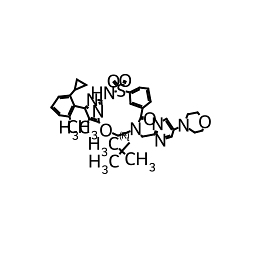 Cc1cccc(C2CC2)c1-c1nc2nc(c1C)OC[C@@H](CC(C)(C)C)N(Cc1ncc(N3CCOCC3)cn1)C(=O)c1cccc(c1)S(=O)(=O)N2